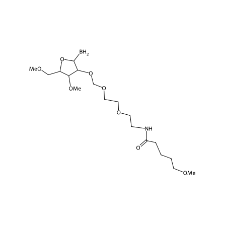 BC1OC(COC)C(OC)C1OCOCCOCCNC(=O)CCCCOC